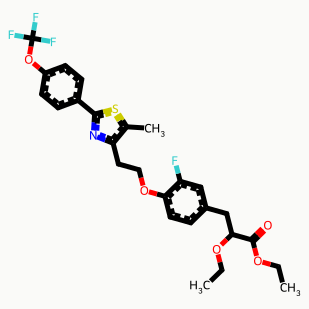 CCOC(=O)C(Cc1ccc(OCCc2nc(-c3ccc(OC(F)(F)F)cc3)sc2C)c(F)c1)OCC